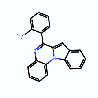 Cc1ccccc1-c1nc2ccccc2n2c1cc1ccccc12